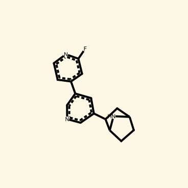 Fc1cc(-c2cncc(C3CC4CCC3N4)c2)ccn1